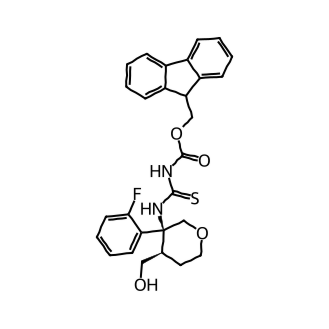 O=C(NC(=S)N[C@@]1(c2ccccc2F)COCC[C@H]1CO)OCC1c2ccccc2-c2ccccc21